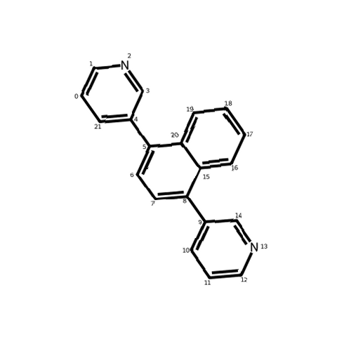 c1cncc(-c2ccc(-c3cccnc3)c3ccccc23)c1